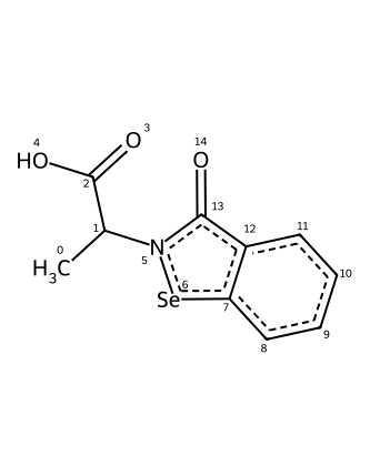 CC(C(=O)O)n1[se]c2ccccc2c1=O